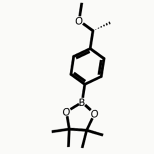 CO[C@H](C)c1ccc(B2OC(C)(C)C(C)(C)O2)cc1